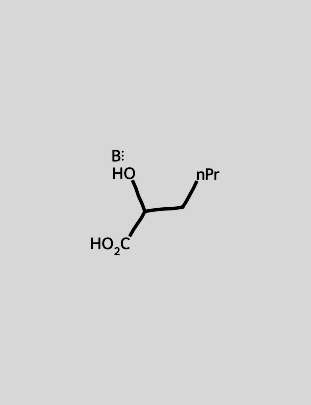 CCCCC(O)C(=O)O.[B]